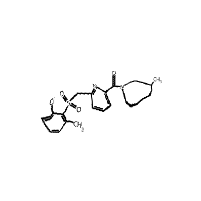 Cc1cccc(Cl)c1S(=O)(=O)Cc1cccc(C(=O)N2CCCC(C)C2)n1